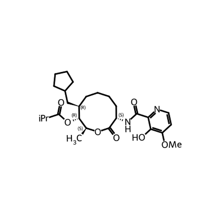 COc1ccnc(C(=O)N[C@H]2CCCC[C@H](CC3CCCC3)[C@@H](OC(=O)C(C)C)[C@H](C)OC2=O)c1O